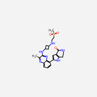 Cc1nc2cccc(-c3cc4c([nH]3)CCNC4=O)c2nc1NC1CC(NCCS(C)(=O)=O)C1